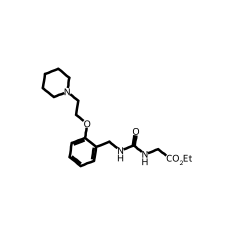 CCOC(=O)CNC(=O)NCc1ccccc1OCCN1CCCCC1